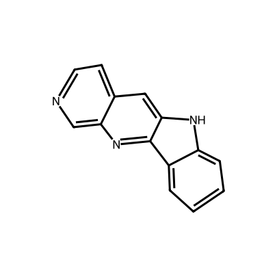 c1ccc2c(c1)[nH]c1cc3ccncc3nc12